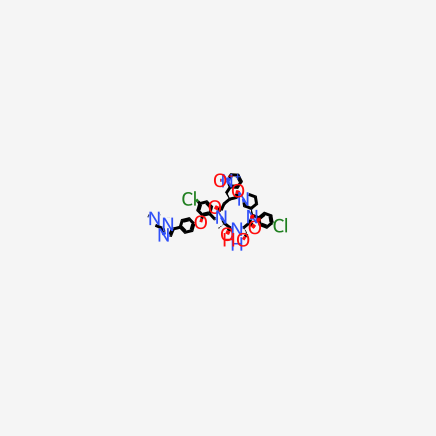 C[C@H]1C(=O)N[C@@H](CO)C(=O)N(C)[C@@]2(Cc3ccc(Cl)cc3)CCCN(C2)C(=O)[C@H](Cc2cccc[n+]2[O-])CC(=O)N1Cc1ccc(Cl)cc1Oc1ccc(-c2cnc(CN(C)C)n2C)cc1